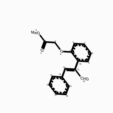 COC(=O)COc1ccccc1C(C=O)=Cc1ccccc1